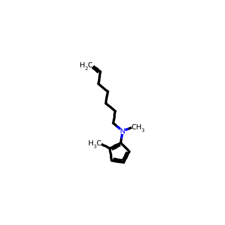 C=CCCCCCN(C)C1=C(C)C=C=C1